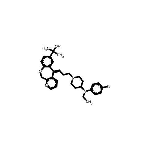 CCN(c1ccc(Cl)cc1)C1CCN(CC/C=C2/c3cc(C(C)(C)O)ccc3OCc3ncccc32)CC1